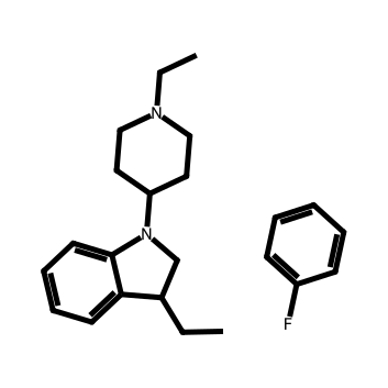 CCC1CN(C2CCN(CC)CC2)c2ccccc21.Fc1ccccc1